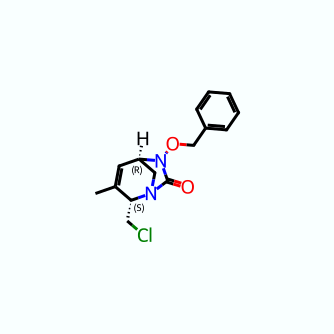 CC1=C[C@@H]2CN(C(=O)N2OCc2ccccc2)[C@@H]1CCl